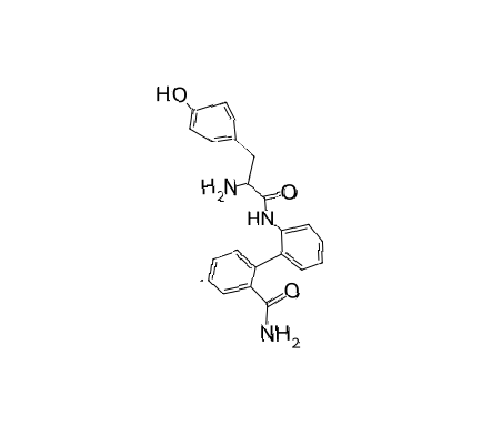 NC(=O)c1c[c]ccc1-c1ccccc1NC(=O)C(N)Cc1ccc(O)cc1